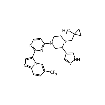 CC1(CN2CCN(c3ccnc(-c4cnc5ccc(C(F)(F)F)cn45)n3)CC2c2cn[nH]c2)CC1